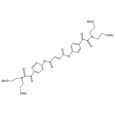 COCCN(CCOC)C(=O)C(=O)c1ccc(OC(=O)/C=C/C(=O)Oc2ccc(C(=O)C(=O)N(CCOC)CCOC)cc2)cc1